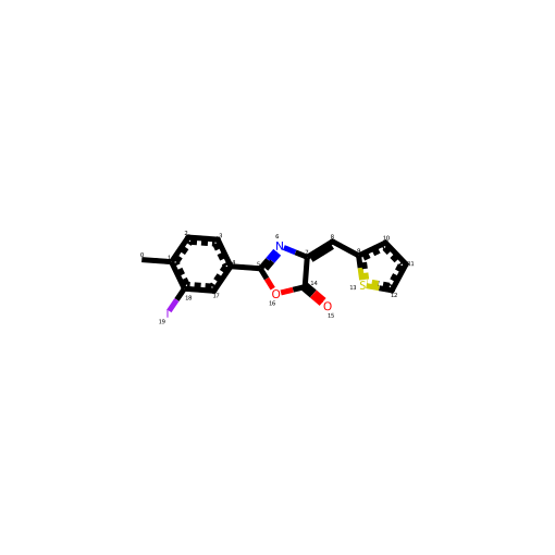 Cc1ccc(C2=NC(=Cc3cccs3)C(=O)O2)cc1I